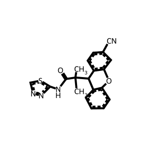 CC(C)(C(=O)Nc1nncs1)C1c2ccccc2Oc2cc(C#N)ccc21